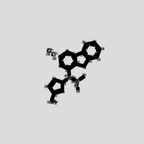 CCCC1=C[CH]([Zr+2]([c]2cccc3c2Cc2ccccc2-3)[SiH](C)C)C=C1.[Cl-].[Cl-]